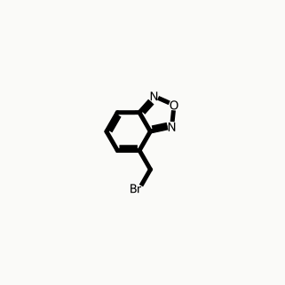 BrCc1cccc2nonc12